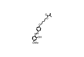 C=C(C)C(=O)OCCCCOc1ccc(N=Nc2ccc(OC)cc2O)cc1